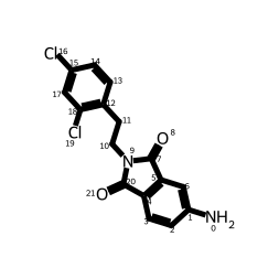 Nc1ccc2c(c1)C(=O)N(CCc1ccc(Cl)cc1Cl)C2=O